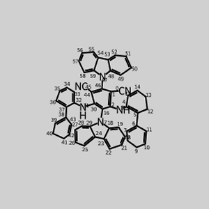 N#Cc1c(NC2=C(C3=CCCC=C3)CCC=C2)c(-n2c3ccccc3c3ccccc32)c(Nc2ccccc2C2=CCCC=C2)c(C#N)c1-n1c2ccccc2c2ccccc21